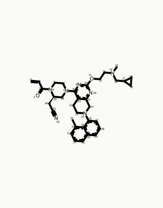 C=CC(=O)N1CCN(c2nc(OCCN(C)CC3CC3)nc3c2CCN(c2cccc4cccc(C)c24)C3)C[C@H]1CC#N